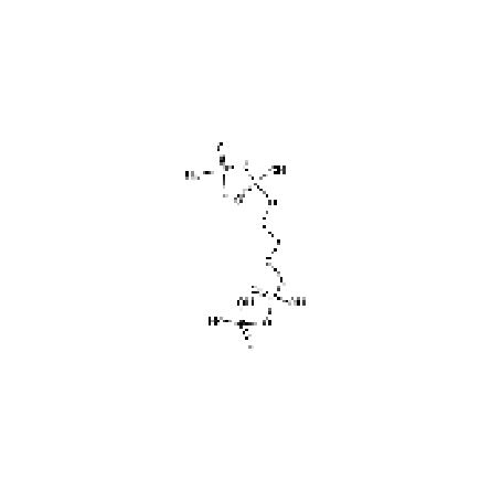 O=P(O)(O)OP(=O)(O)OCCOOP(=O)(O)OP(=O)(O)O